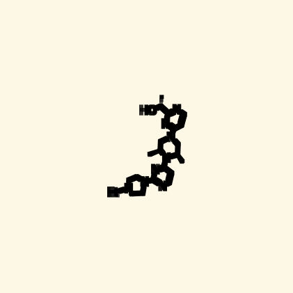 CCN1CCN(c2nccc(N3[C@H](C)CN(c4ccnc([C@@H](C)O)n4)C[C@@H]3C)n2)CC1